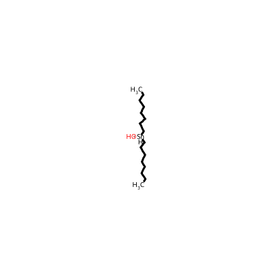 CCCCCCC[CH2][SnH]([OH])[CH2]CCCCCCC